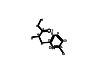 CCC(=O)C(C)Cc1cccc(C)n1